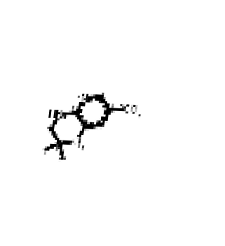 CC1(C)CNc2ncc(C(=O)O)cc2O1